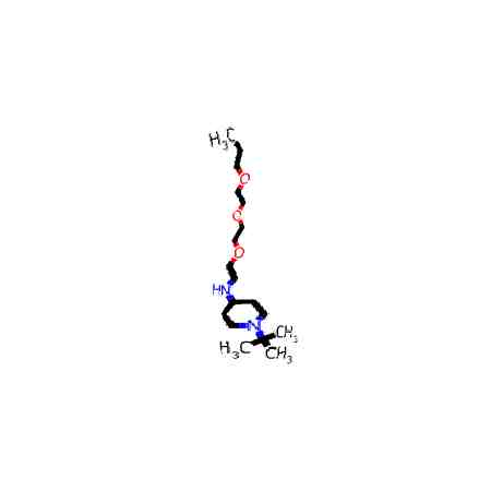 CCCOCCOCCOCCNC1CCN(C(C)(C)C)CC1